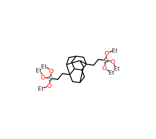 CCO[Si](CCC12CC3CC4C1CC1CC2C(C3)C4(CC[Si](OCC)(OCC)OCC)C1)(OCC)OCC